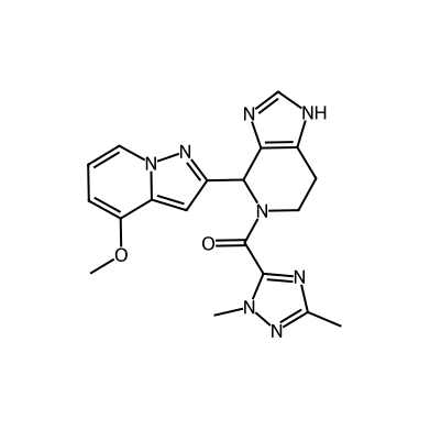 COc1cccn2nc(C3c4nc[nH]c4CCN3C(=O)c3nc(C)nn3C)cc12